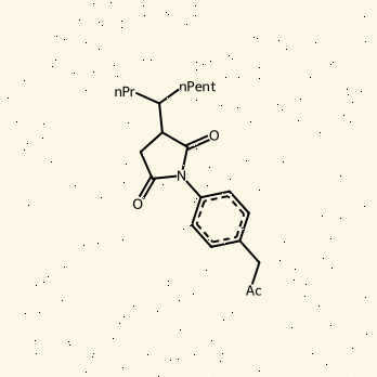 CCCCCC(CCC)C1CC(=O)N(c2ccc(CC(C)=O)cc2)C1=O